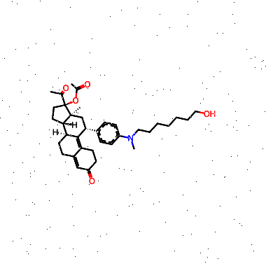 CC(=O)O[C@]1(C(C)=O)CC[C@H]2[C@@H]3CCC4=CC(=O)CCC4=C3[C@@H](c3ccc(N(C)CCCCCCCO)cc3)C[C@@]21C